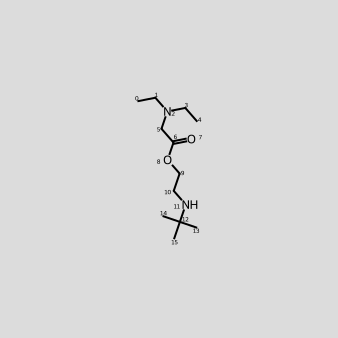 CCN(CC)CC(=O)OCCNC(C)(C)C